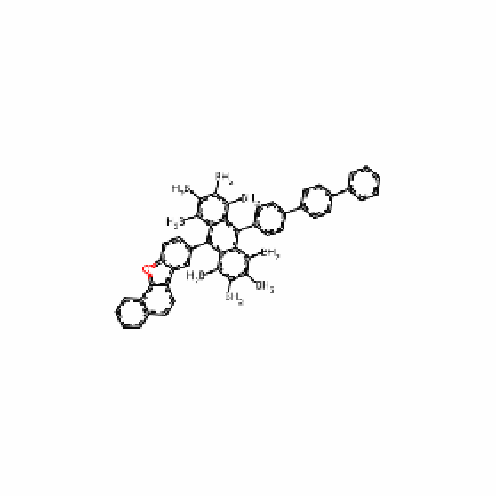 Bc1c(B)c(B)c2c(-c3ccc4oc5c6ccccc6ccc5c4c3)c3c(B)c(B)c(B)c(B)c3c(-c3ccc(-c4ccc(-c5ccccc5)cc4)cc3)c2c1B